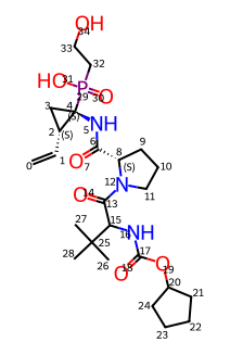 C=C[C@@H]1C[C@]1(NC(=O)[C@@H]1CCCN1C(=O)C(NC(=O)OC1CCCC1)C(C)(C)C)P(=O)(O)CCO